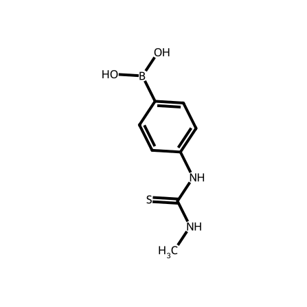 CNC(=S)Nc1ccc(B(O)O)cc1